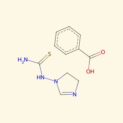 NC(=S)NN1C=NCC1.O=C(O)c1ccccc1